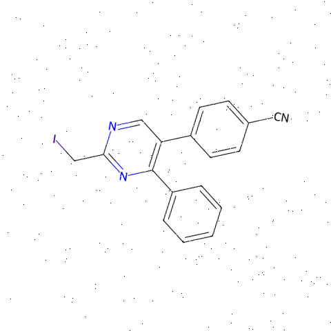 N#Cc1ccc(-c2cnc(CI)nc2-c2ccccc2)cc1